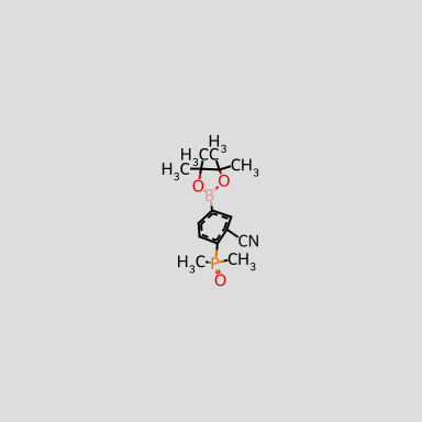 CC1(C)OB(c2ccc(P(C)(C)=O)c(C#N)c2)OC1(C)C